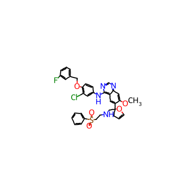 COc1cc2ncnc(Nc3ccc(OCc4cccc(F)c4)c(Cl)c3)c2cc1C1(CNCCS(=O)(=O)c2ccccc2)CC=CO1